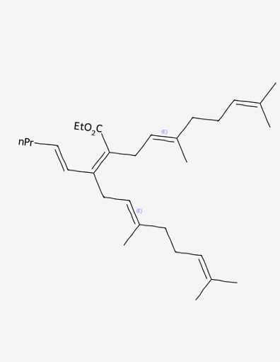 CCCC=CC(C/C=C(\C)CCC=C(C)C)=C(C/C=C(\C)CCC=C(C)C)C(=O)OCC